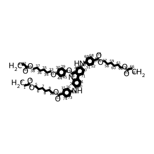 C=CC(=O)OCCCCCCOC(=O)c1ccc(Nc2ccc3c(c2)nc(Oc2ccc(OCCCCCCOC(=O)C=C)cc2)c2cc(Nc4ccc(C(=O)OCCCCCCOC(=O)C=C)cc4)ccc23)cc1